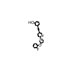 Oc1cccc(C#Cc2ccc(N3CC[C@H](Oc4ccccc4F)C3)nc2)c1